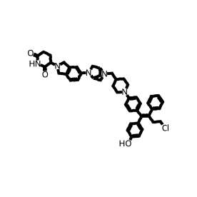 O=C1CCC(N2Cc3ccc(N4CC5CC4CN5CC4CCN(c5ccc(C(=C(CCCl)c6ccccc6)c6ccc(O)cc6)cc5)CC4)cc3C2)C(=O)N1